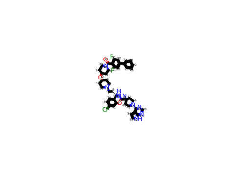 NC1(C(=O)N[C@@H](CCN2CCC(OC3CCN(C(=O)c4c(F)cc(-c5ccccc5)cc4F)CC3)CC2)c2ccc(Cl)cc2)CCN(c2ncnc3[nH]ccc23)CC1